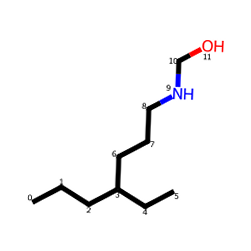 CCCC(CC)CCCNCO